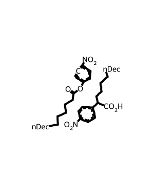 CCCCCCCCCCCCCCC(C(=O)O)c1ccc([N+](=O)[O-])cc1.CCCCCCCCCCCCCCCC(=O)Oc1ccc([N+](=O)[O-])cc1